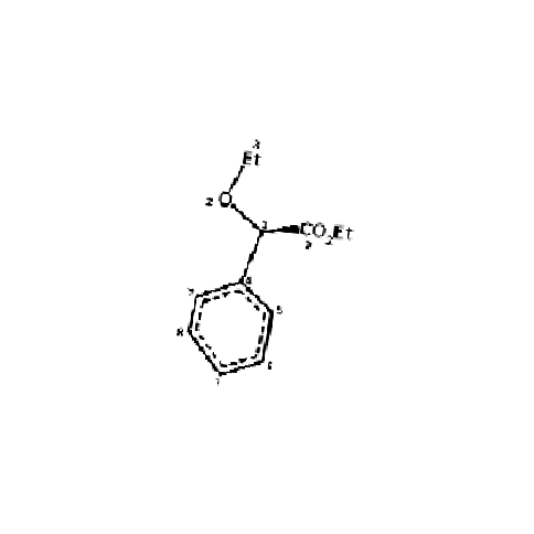 CCOC(=O)[C@H](OCC)c1ccccc1